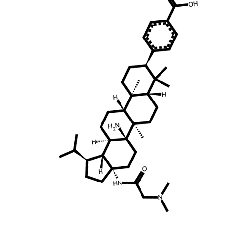 CC(C)[C@@H]1CC[C@]2(NC(=O)CN(C)C)CC[C@]3(N)[C@H](CC[C@@H]4[C@@]5(C)CC[C@@H](c6ccc(C(=O)O)cc6)C(C)(C)[C@@H]5CC[C@]43C)[C@@H]12